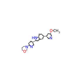 COc1cncc(-c2ccc3[nH]c(-c4ccc(N5CCCOC5)nc4)cc3c2)c1